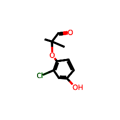 CC(C)(C=O)Oc1ccc(O)cc1Cl